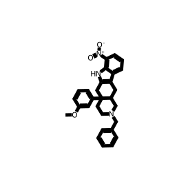 COc1cccc(C23CCN(Cc4ccccc4)CC2Cc2c([nH]c4c([N+](=O)[O-])cccc24)C3)c1